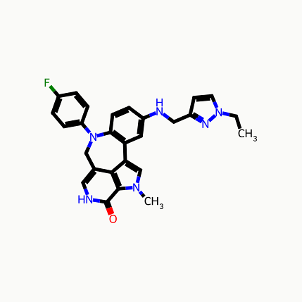 CCn1ccc(CNc2ccc3c(c2)-c2cn(C)c4c(=O)[nH]cc(c24)CN3c2ccc(F)cc2)n1